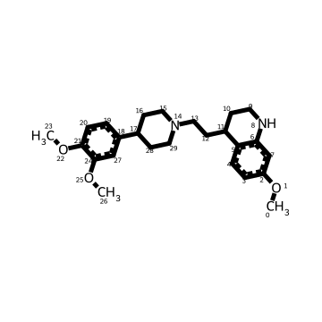 COc1ccc2c(c1)NCCC2CCN1CCC(c2ccc(OC)c(OC)c2)CC1